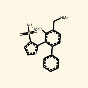 CNCc1ccc(-c2ccccc2)c(-c2sccc2S(N)(=O)=O)c1OC